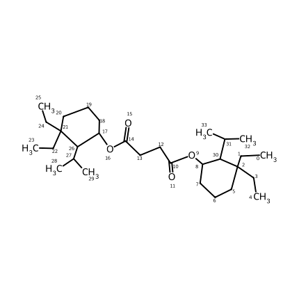 CCC1(CC)CCCC(OC(=O)CCC(=O)OC2CCCC(CC)(CC)C2C(C)C)C1C(C)C